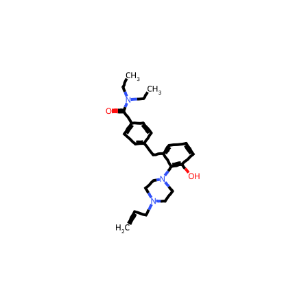 C=CCN1CCN(c2c(O)cccc2Cc2ccc(C(=O)N(CC)CC)cc2)CC1